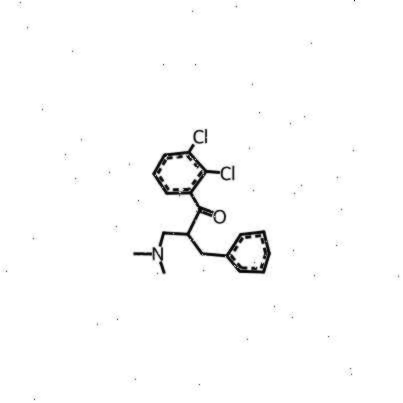 CN(C)CC(Cc1ccccc1)C(=O)c1cccc(Cl)c1Cl